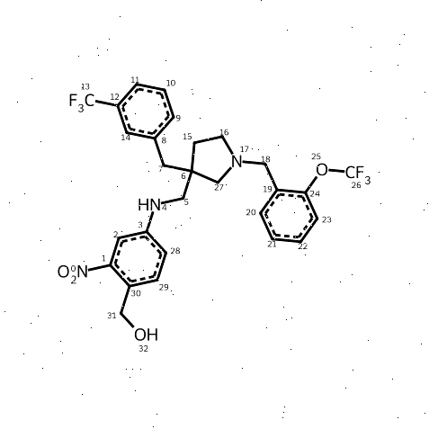 O=[N+]([O-])c1cc(NCC2(Cc3cccc(C(F)(F)F)c3)CCN(Cc3ccccc3OC(F)(F)F)C2)ccc1CO